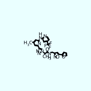 Cc1cc(Nc2cc(C(F)(F)F)ccn2)nc(-c2cn(C(C)C(=O)NCc3cc(-c4ccco4)on3)nn2)c1